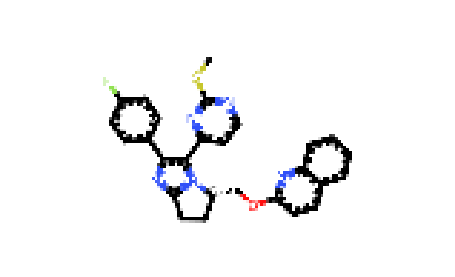 CSc1nccc(-c2c(-c3ccc(F)cc3)nc3n2[C@H](COc2ccc4ccccc4n2)CC3)n1